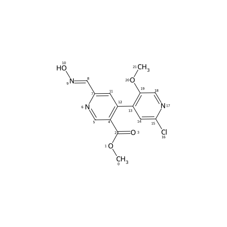 COC(=O)c1cnc(/C=N/O)cc1-c1cc(Cl)ncc1OC